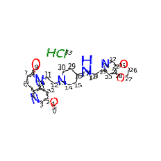 COc1cnc2ccc(=O)n(CCN3CCC(NCc4cc5c(cn4)OCCO5)CC3)c2c1.Cl